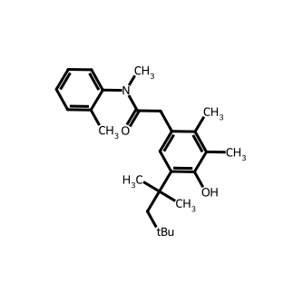 Cc1ccccc1N(C)C(=O)Cc1cc(C(C)(C)CC(C)(C)C)c(O)c(C)c1C